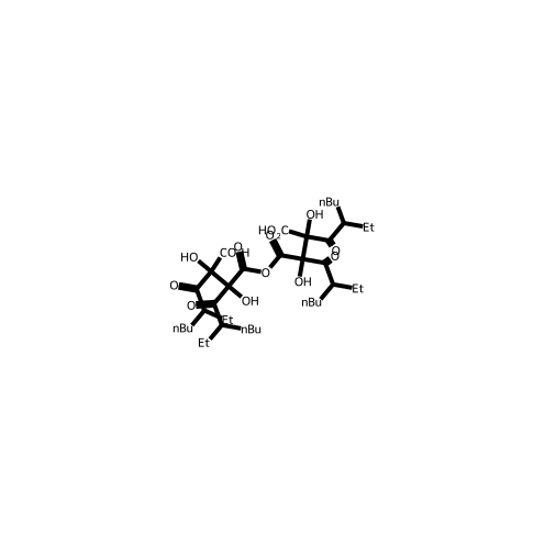 CCCCC(CC)C(=O)C(O)(C(=O)O)C(O)(C(=O)OC(=O)C(O)(C(=O)C(CC)CCCC)C(O)(C(=O)O)C(=O)C(CC)CCCC)C(=O)C(CC)CCCC